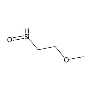 COCC[SiH]=O